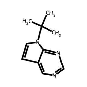 CC(C)(C)n1ccc2cncnc21